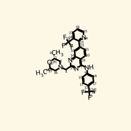 C[C@@H]1CN(Cc2nc(Nc3ccc(C(F)(F)F)cc3)c3ccc(-c4ncccc4C(F)(F)F)cc3n2)C[C@H](C)O1